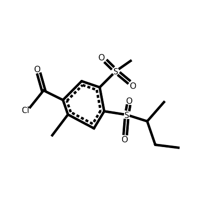 CCC(C)S(=O)(=O)c1cc(C)c(C(=O)Cl)cc1S(C)(=O)=O